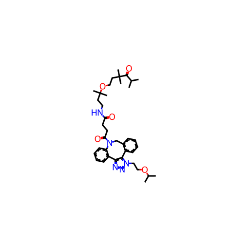 CC(C)OCCn1nnc2c1-c1ccccc1CN(C(=O)CCC(=O)NCCC(C)(C)OCCC(C)(C)C(=O)C(C)C)c1ccccc1-2